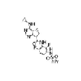 CCCS(=O)(=O)Nc1ccc(F)c(NC(=O)C2CSc3c(NC4CC4)ncnc32)c1F